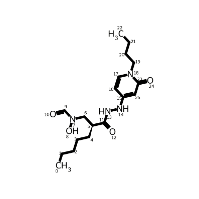 CCCCC[C@@H](CN(O)C=O)C(=O)NNc1ccn(CCCC)c(=O)c1